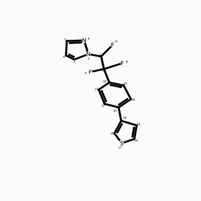 FC(n1cccn1)C(F)(F)c1ccc(-c2ccsc2)cc1